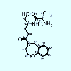 C[C@H](N)C(=O)N[C@H](CO)CCC(=O)N1CCOc2ccccc2C1